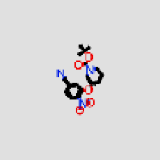 CC(C)(C)OC(=O)N1CCC[C@H](Oc2cc(C#N)ccc2[N+](=O)[O-])C1